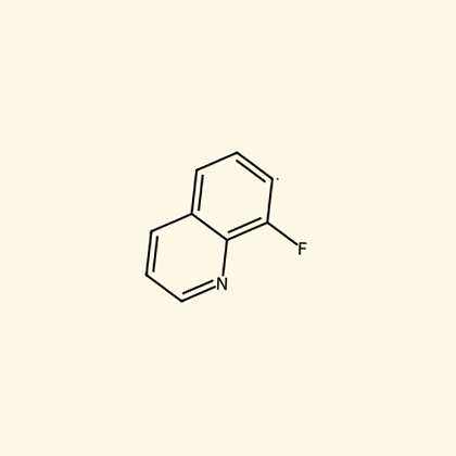 Fc1[c]ccc2cccnc12